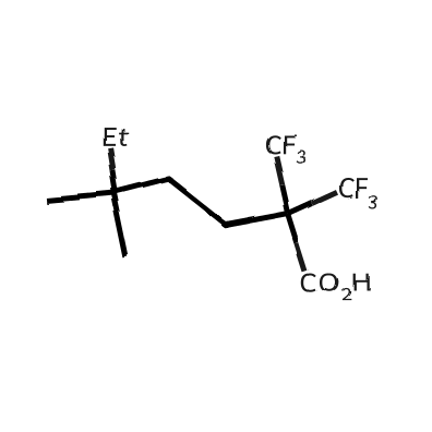 CCC(C)(C)CCC(C(=O)O)(C(F)(F)F)C(F)(F)F